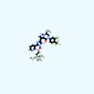 CC1CN(c2ccc(C(F)(F)F)c(Cl)c2)C(=O)c2c(-c3cn(COCCS(C)(C)C)c(-c4cccnc4)n3)cnn21